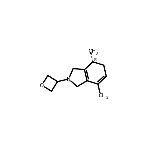 CC1=CC[C@@H](C)C2=C1CN(C1COC1)C2